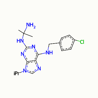 CC(C)n1cnc2c(NCc3ccc(Cl)cc3)nc(NC(C)(C)N)nc21